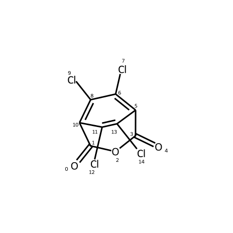 O=c1oc(=O)c2c(Cl)c(Cl)c1c(Cl)c2Cl